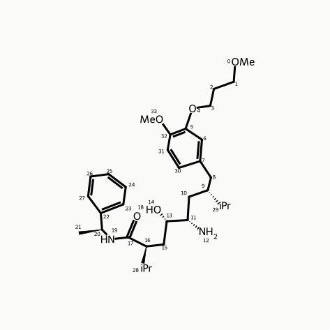 COCCCOc1cc(C[C@@H](C[C@H](N)[C@@H](O)C[C@H](C(=O)N[C@@H](C)c2ccccc2)C(C)C)C(C)C)ccc1OC